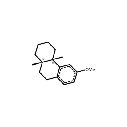 COc1ccc2c(c1)[C@@]1(C)CCCC[C@@]1(C)CC2